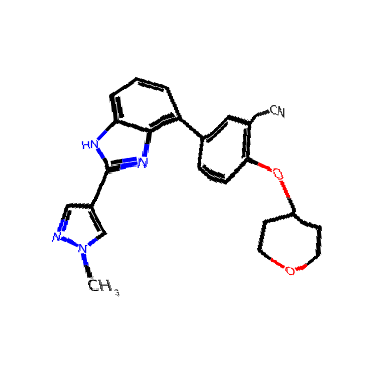 Cn1cc(-c2nc3c(-c4ccc(OC5CCOCC5)c(C#N)c4)cccc3[nH]2)cn1